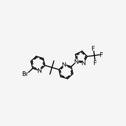 CC(C)(c1cccc(Br)n1)c1cccc(-n2ccc(C(F)(F)F)n2)n1